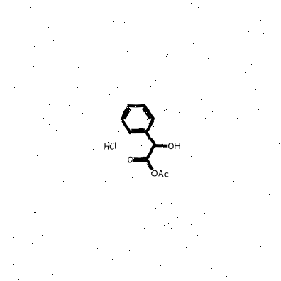 CC(=O)OC(=O)C(O)c1ccccc1.Cl